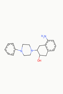 Nc1cccc2c1CC(N1CCN(c3ccccc3)CC1)C(O)C2